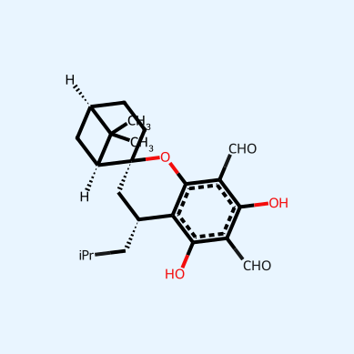 CC(C)C[C@@H]1C[C@]2(CC[C@@H]3C[C@H]2C3(C)C)Oc2c(C=O)c(O)c(C=O)c(O)c21